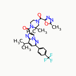 Cc1nnc(C(=O)N2CCN(C(=O)c3cn4nc(-c5ccc(C(F)(F)F)cc5)cc(C(C)C)c4n3)C(C)(C)C2)o1